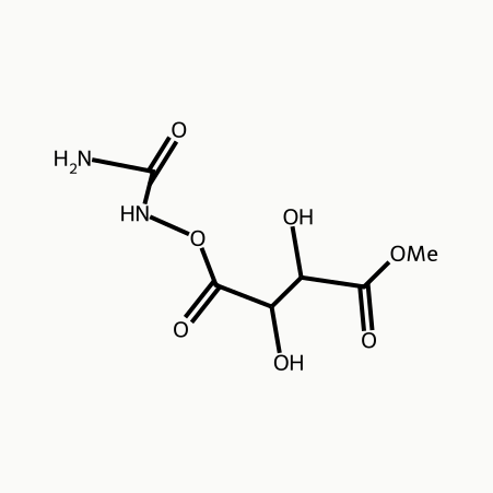 COC(=O)C(O)C(O)C(=O)ONC(N)=O